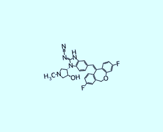 CN1C[C@H](O)[C@@H](n2/c(=N/C#N)[nH]c3cc(/C=C4\c5ccc(F)cc5COc5cc(F)ccc54)ccc32)C1